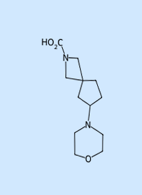 O=C(O)N1CC2(CCC(N3CCOCC3)C2)C1